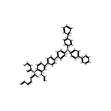 C=C/C=C\C=C(/C)N(C(=C)/C=C\C)c1ccc(-c2ccc(-c3ccc(N(c4ccc(-c5ccccc5)cc4)c4ccc(-c5ccccc5)cc4)cc3)cc2)cc1CC=C